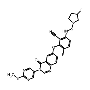 CSc1ncc(-n2cnc3ccc(Oc4c(F)ccc(NSN5CCC(F)C5)c4C#N)cc3c2=O)cn1